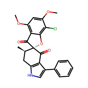 COc1cc(OC)c2c(c1Cl)O[C@@]1(C(=O)c3c(-c4ccccc4)c[nH]c3C[C@H]1C)C2=O